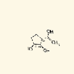 C=C(O)[C@H]1CC[C@H](O)[C@@H]1O